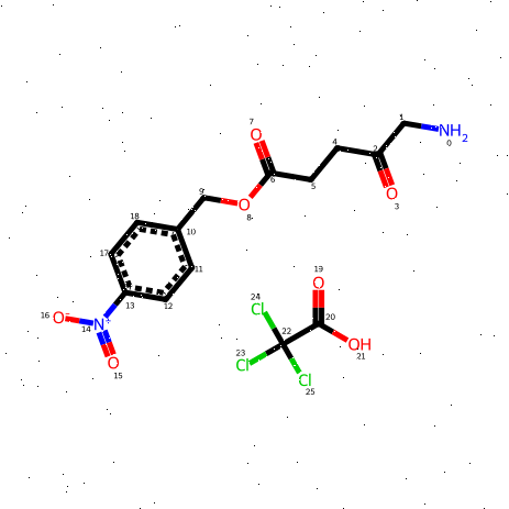 NCC(=O)CCC(=O)OCc1ccc([N+](=O)[O-])cc1.O=C(O)C(Cl)(Cl)Cl